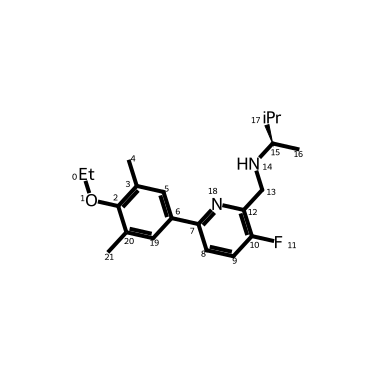 CCOc1c(C)cc(-c2ccc(F)c(CN[C@H](C)C(C)C)n2)cc1C